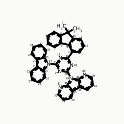 CC1(C)c2ccccc2-c2c(-c3nc(-n4c5ccccc5c5ccccc54)nc(-n4c5ncccc5c5cccnc54)n3)cccc21